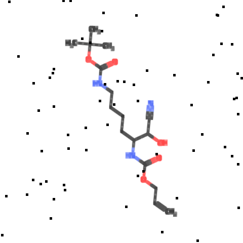 C=CCOC(=O)NC(CCCCNC(=O)OC(C)(C)C)C(O)C#N